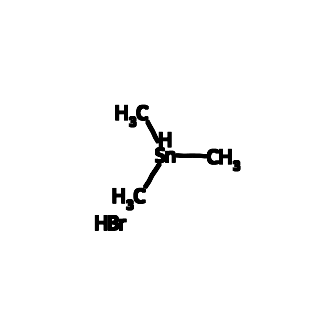 Br.[CH3][SnH]([CH3])[CH3]